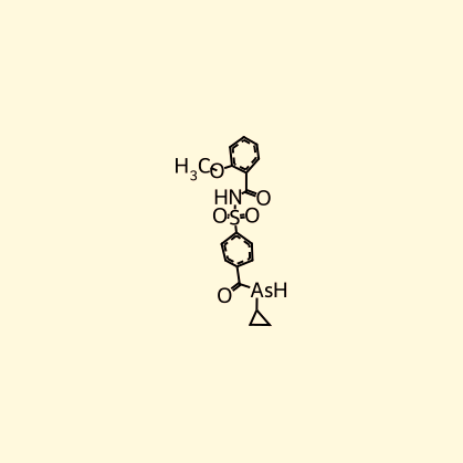 COc1ccccc1C(=O)NS(=O)(=O)c1ccc(C(=O)[AsH]C2CC2)cc1